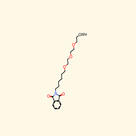 COCCOCCOCCOCCCCCCN1C(=O)c2ccccc2C1=O